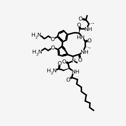 CCCCCCCCCC(=O)N[C@@H](CC(N)=O)C(=O)N(C)[C@@H]1C(=O)N[C@@H](C)C(=O)N[C@H](C(=O)N[C@@H](C)C(C)=O)Cc2ccc(OCCN)c(c2)-c2cc1ccc2OCCN